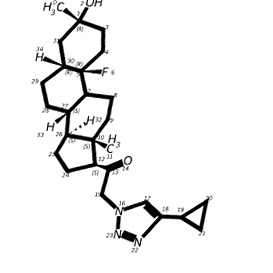 C[C@@]1(O)CC[C@]2(F)C3CC[C@]4(C)[C@@H](C(=O)Cn5cc(C6CC6)nn5)CC[C@H]4[C@@H]3CC[C@@H]2C1